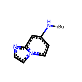 CCCCNc1ccn2ccnc2c1